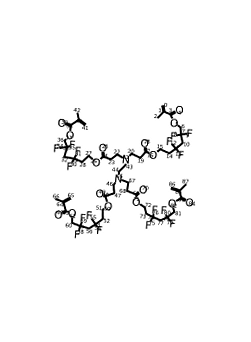 C=C(C)C(=O)OCC(F)(F)CC(F)(F)CCOC(=O)CCN(CCC(=O)OCCC(F)(F)CC(F)(F)COC(=O)C(=C)C)CCN(CCC(=O)OCCC(F)(F)CC(F)(F)COC(=O)C(=C)C)CCC(=O)OCCC(F)(F)CC(F)(F)COC(=O)C(=C)C